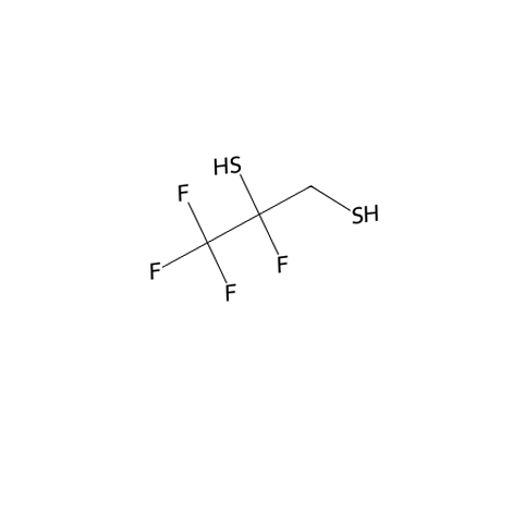 FC(F)(F)C(F)(S)CS